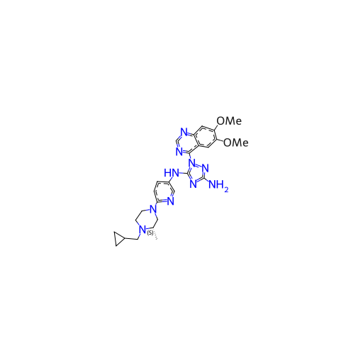 COc1cc2ncnc(-n3nc(N)nc3Nc3ccc(N4CCN(CC5CC5)[C@@H](C)C4)nc3)c2cc1OC